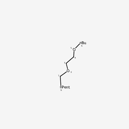 CCCCCCOCCOCCCC